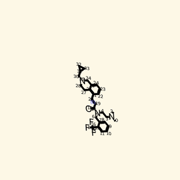 CN(C)CCN(Cc1ccccc1C(F)(F)F)C(=O)/C=C/c1cccc2c1CCN(CC1CC1)C2